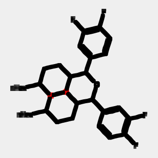 CCCCCCC1CCC(C(OC(c2ccc(F)c(F)c2)C2CCC(CCCCCC)CC2)c2ccc(F)c(F)c2)CC1